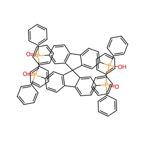 O=P(c1ccccc1)(c1ccccc1)c1ccc2c(c1)C1(c3cc(P(=O)(c4ccccc4)c4ccccc4)ccc3-2)c2cc(P(=O)(c3ccccc3)c3ccccc3)ccc2-c2ccc([PH](O)(c3ccccc3)c3ccccc3)cc21